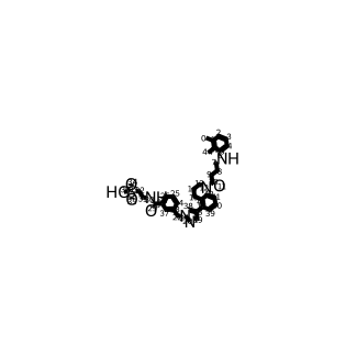 Cc1cccc(NCCCC(=O)N2CCCc3c(-c4cnn(Cc5cccc(C(=O)NCCS(=O)(=O)O)c5)c4)cccc32)c1C